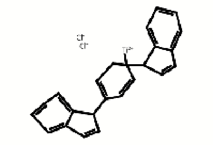 [Cl-].[Cl-].[Ti+2][C]1(C2C=Cc3ccccc32)C=CC(C2C=Cc3ccccc32)=CC1